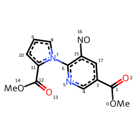 COC(=O)c1cnc(-n2cccc2C(=O)OC)c(N=O)c1